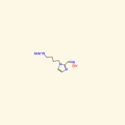 [N-]=[N+]=NCCCCn1ccnc1/C=N\O